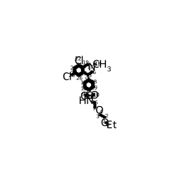 CCOCCOCCNS(=O)(=O)c1ccc([C@@H]2CN(C)Cc3c(Cl)cc(Cl)cc32)cc1